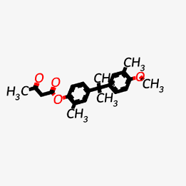 COc1ccc(C(C)(C)c2ccc(OC(=O)CC(C)=O)c(C)c2)cc1C